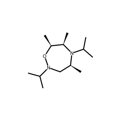 CC(C)N1C[C@H](C)N(C(C)C)[C@H](C)[C@H](C)O1